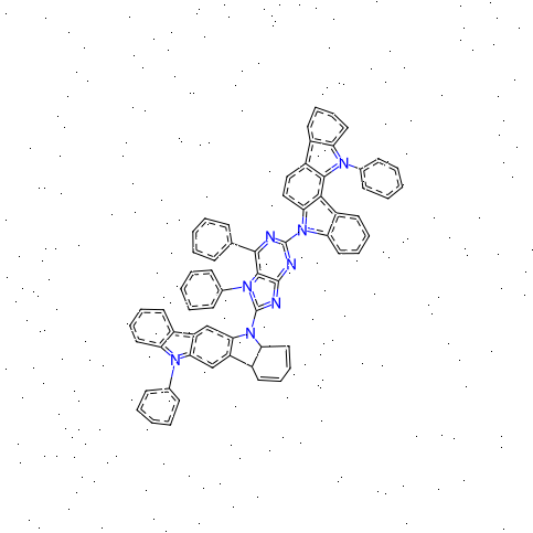 C1=CC2c3cc4c(cc3N(c3nc5nc(-n6c7ccccc7c7c6ccc6c8ccccc8n(-c8ccccc8)c67)nc(-c6ccccc6)c5n3-c3ccccc3)C2C=C1)c1ccccc1n4-c1ccccc1